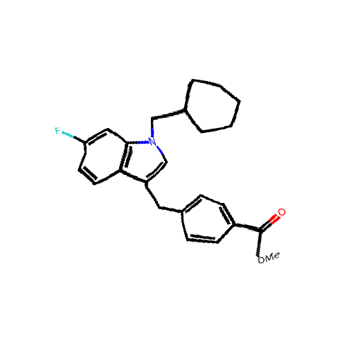 COC(=O)c1ccc(Cc2cn(CC3CCCCC3)c3cc(F)ccc23)cc1